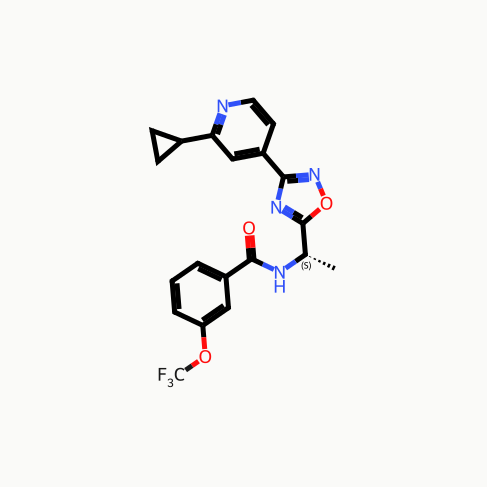 C[C@H](NC(=O)c1cccc(OC(F)(F)F)c1)c1nc(-c2ccnc(C3CC3)c2)no1